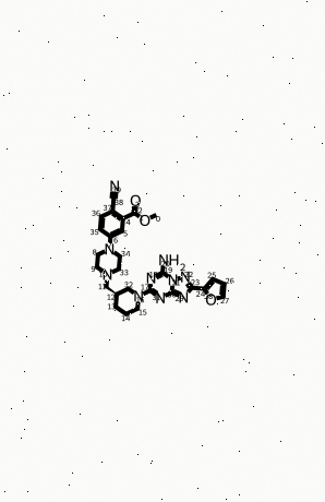 COC(=O)c1cc(N2CCN(C[C@@H]3CCCN(c4nc(N)n5nc(-c6ccco6)nc5n4)C3)CC2)ccc1C#N